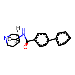 O=C(N[C@@H]1CN2CCC1CC2)c1ccc(-c2ccccc2)cc1